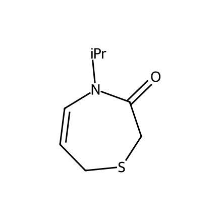 CC(C)N1C=CCSCC1=O